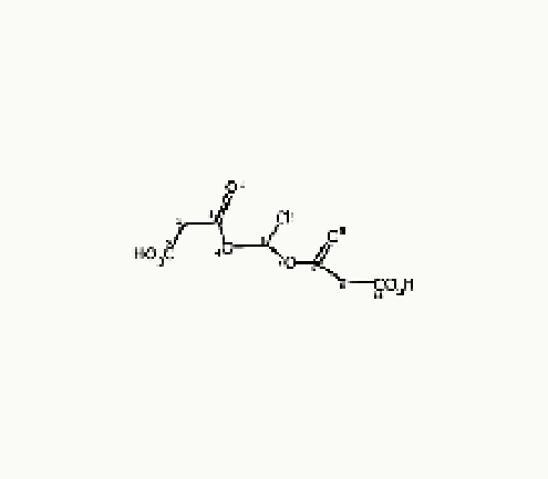 O=C(O)CC(=O)OC(Cl)OC(=O)CC(=O)O